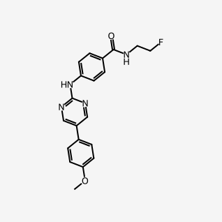 COc1ccc(-c2cnc(Nc3ccc(C(=O)NCCF)cc3)nc2)cc1